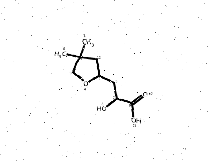 CC1(C)COC(CC(O)C(=O)O)C1